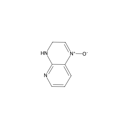 [O-][N+]1=CCNc2ncccc21